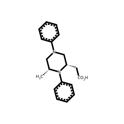 C[C@@H]1CN(c2ccccc2)C[C@H](CC(=O)O)N1c1ccccc1